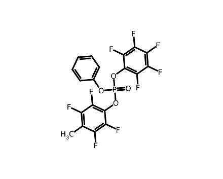 Cc1c(F)c(F)c(OP(=O)(Oc2ccccc2)Oc2c(F)c(F)c(F)c(F)c2F)c(F)c1F